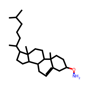 CC(C)CCCC(C)C1CCC2C3CC=C4CC(ON)CCC4(C)C3CCC12C